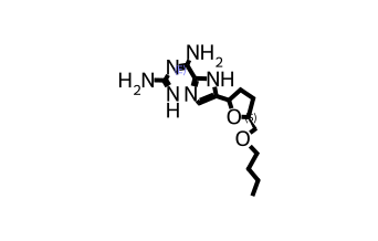 CCCCOC[C@@H]1CCC(c2cnc(/C(N)=N\C(=N)N)[nH]2)O1